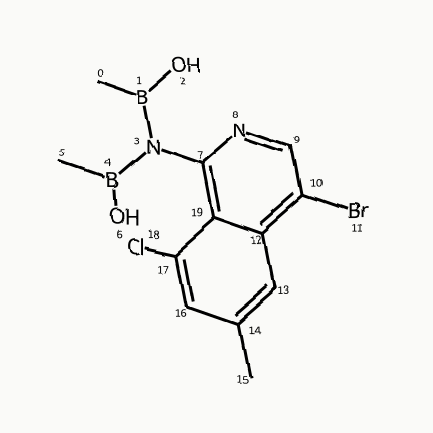 CB(O)N(B(C)O)c1ncc(Br)c2cc(C)cc(Cl)c12